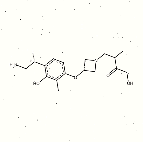 BC[C@H](C)c1ccc(OC2CN(CC(C)C(=O)CO)C2)c(C)c1O